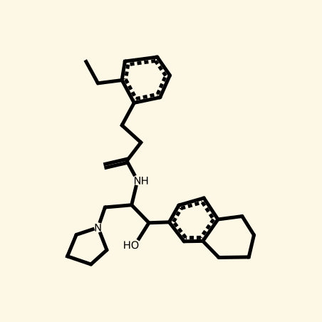 C=C(CCc1ccccc1CC)NC(CN1CCCC1)C(O)c1ccc2c(c1)CCCC2